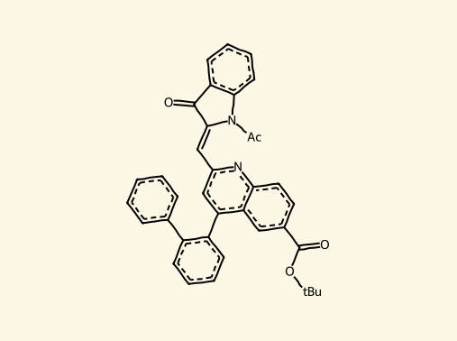 CC(=O)N1/C(=C\c2cc(-c3ccccc3-c3ccccc3)c3cc(C(=O)OC(C)(C)C)ccc3n2)C(=O)c2ccccc21